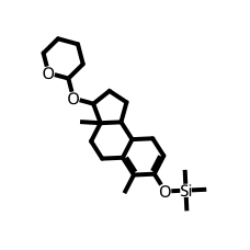 CC1=C2CCC3(C)C(OC4CCCCO4)CCC3C2CC=C1O[Si](C)(C)C